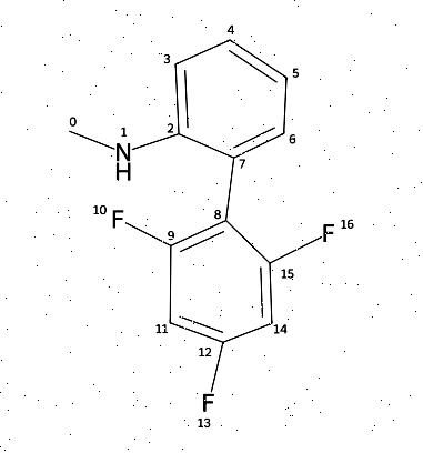 CNc1ccccc1-c1c(F)cc(F)cc1F